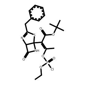 CCOP(=O)(Cl)OC(C)=C(C(=O)OC(C)(C)C)C12NC(=O)C1N=C(Cc1ccccc1)S2